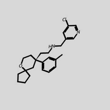 Cc1cccc([C@@]2(CCNCc3cncc(Cl)c3)CCOC3(CCCC3)C2)c1